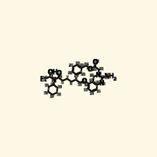 CCC(O)N(C(=O)CCCCCOc1cccc2c1CN(CC(=O)OCc1ccccc1)C(N)=N2)C1CCCCC1